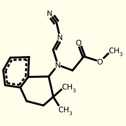 COC(=O)CN(C=NC#N)C1c2ccccc2CCC1(C)C